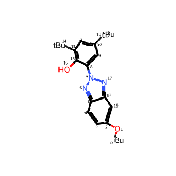 CCC(C)Oc1ccc2nn(-c3cc(C(C)(C)C)cc(C(C)(C)C)c3O)nc2c1